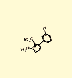 Nn1ccc(-c2cccc(Cl)c2)c1C(=O)O